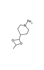 CC1OC(C2CCN(P)CC2)O1